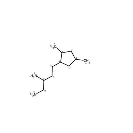 CC1CC(C)C(CCC(N)CN)C1